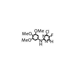 [2H]c1nc(Nc2cc(OC)c(OC)c(OC)c2)nc(Cl)c1F